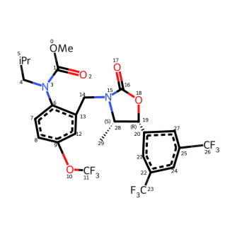 COC(=O)N(CC(C)C)c1ccc(OC(F)(F)F)cc1CN1C(=O)O[C@H](c2cc(C(F)(F)F)cc(C(F)(F)F)c2)[C@@H]1C